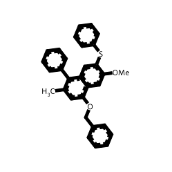 COc1cc2c(OCc3ccccc3)cc(C)c(-c3ccccc3)c2cc1Sc1ccccc1